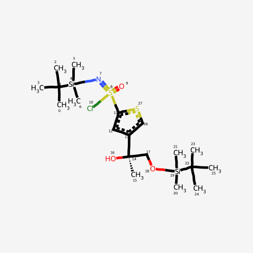 CC(C)(C)[Si](C)(C)N=S(=O)(Cl)c1cc([C@](C)(O)CO[Si](C)(C)C(C)(C)C)cs1